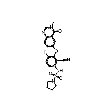 Cn1cnc2ccc(Oc3c(F)ccc(NS(=O)(=O)N4CCCC4)c3C#N)cc2c1=O